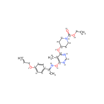 C=CCOc1ccc(C(C)=NOc2ncnc(OC3CCN(C(=O)OCC)CC3)c2C)cc1